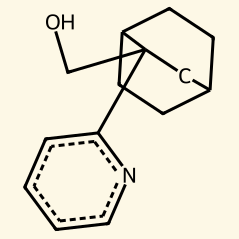 OCC1(c2ccccn2)CC2CCC1CC2